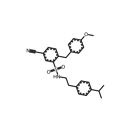 COc1ccc(Cc2ccc(C#N)cc2S(=O)(=O)NCCc2ccc(C(C)C)cc2)cc1